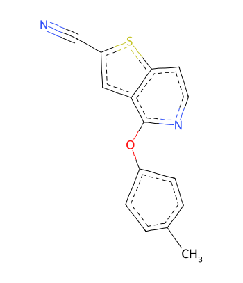 Cc1ccc(Oc2nccc3sc(C#N)cc23)cc1